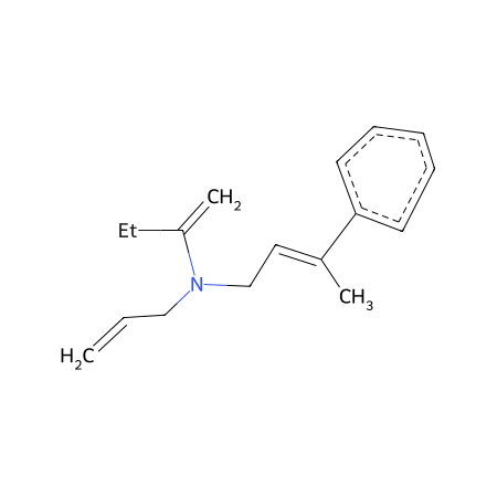 C=CCN(C/C=C(\C)c1ccccc1)C(=C)CC